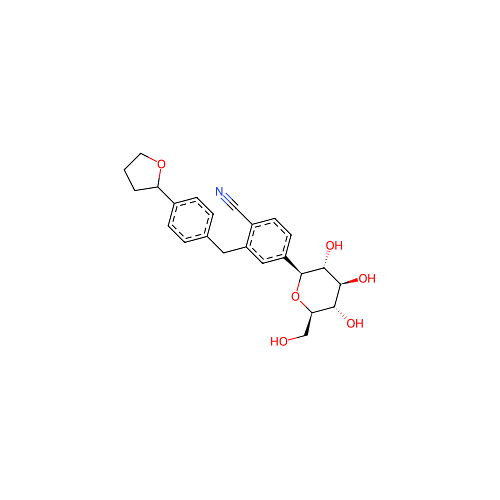 N#Cc1ccc([C@@H]2O[C@H](CO)[C@@H](O)[C@H](O)[C@H]2O)cc1Cc1ccc(C2CCCO2)cc1